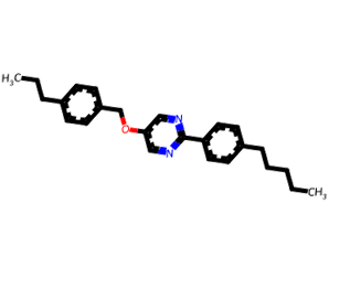 CCCCCc1ccc(-c2ncc(OCc3ccc(CCC)cc3)cn2)cc1